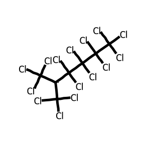 ClC(Cl)(Cl)[C](C(Cl)(Cl)Cl)C(Cl)(Cl)C(Cl)(Cl)C(Cl)(Cl)C(Cl)(Cl)Cl